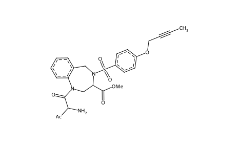 CC#CCOc1ccc(S(=O)(=O)N2Cc3ccccc3N(C(=O)C(N)C(C)=O)CC2C(=O)OC)cc1